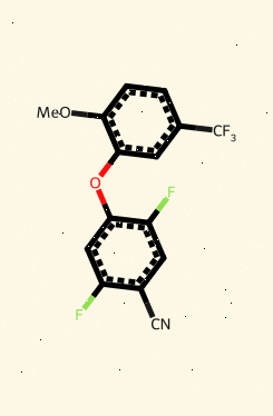 COc1ccc(C(F)(F)F)cc1Oc1cc(F)c(C#N)cc1F